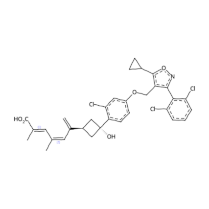 C=C(/C=C(C)\C=C(/C)C(=O)O)[C@H]1C[C@@](O)(c2ccc(OCc3c(-c4c(Cl)cccc4Cl)noc3C3CC3)cc2Cl)C1